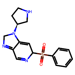 O=S(=O)(c1ccccc1)C1C=C2C(=NCN2[C@H]2CCNC2)C=N1